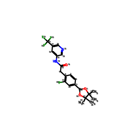 CC1(C)OB(c2ccc(CC(=O)Nc3cncc(C(F)(F)F)c3)c(F)c2)OC1(C)C